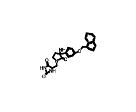 NC1(c2ccc(OCc3cccc4ccccc34)cc2)CCN(CC2NC(=O)NC2=O)C1=O